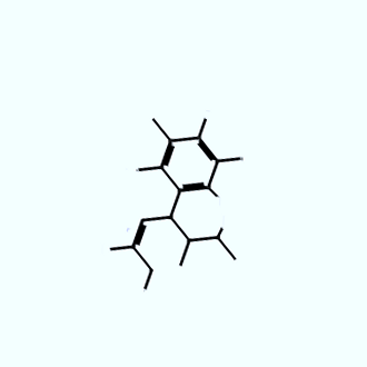 CCC(C)c1c(C)c(F)c(F)c(F)c1C(/C=C(/F)CF)C(C)C(C)F